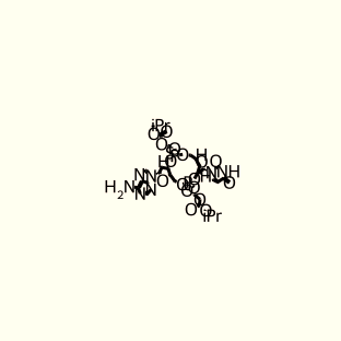 CC(C)OC(=O)OCOP1(=O)OCC2O[C@@H](n3cnc4c(N)ncnc43)C[C@@H]2OP(=O)(SCOC(=O)OC(C)C)OC[C@@H]2C[C@@H](O1)[C@H](n1ccc(=O)[nH]c1=O)O2